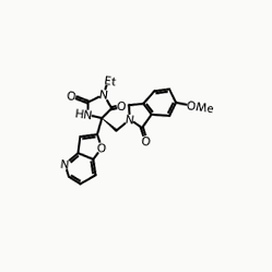 CCN1C(=O)N[C@@](CN2Cc3ccc(OC)cc3C2=O)(c2cc3ncccc3o2)C1=O